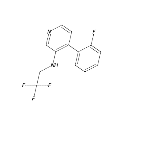 Fc1ccccc1-c1ccncc1NCC(F)(F)F